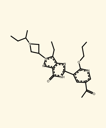 CCCOc1ncc(C(C)=O)cc1-c1nc2c(CC)n(C3CN(C(C)CC)C3)nc2c(=O)[nH]1